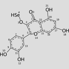 O=c1c(O[SeH])c(-c2ccc(O)c(O)c2)oc2cc(O)cc(O)c12